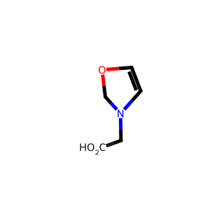 O=C(O)CN1C=COC1